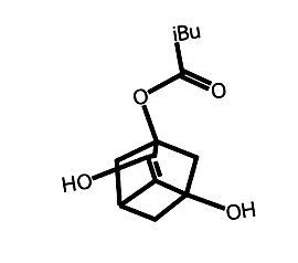 CCC(C)C(=O)OC12CC(O)=C3C(C1)CC3(O)C2